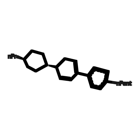 CCCCCc1ccc(C2=CCC([C@H]3CC[C@H](CCC)CC3)C=C2)cc1